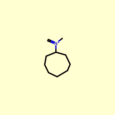 C=[N+](C)C1CCCCCCC1